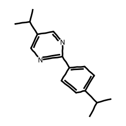 CC(C)c1ccc(-c2ncc(C(C)C)cn2)cc1